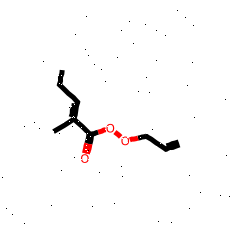 C=CCOOC(=O)C(C)=CCC